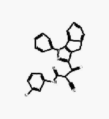 N#CC(C(=O)Nc1cccc(Cl)c1)C(=O)c1nn(-c2ccccc2)c2c1Cc1ccccc1-2